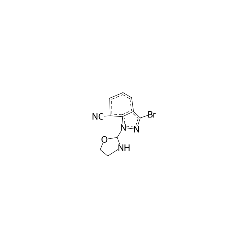 N#Cc1cccc2c(Br)nn(C3NCCO3)c12